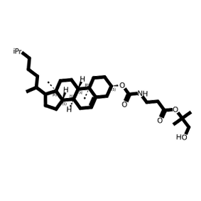 CC(C)CCCC(C)C1CC[C@H]2[C@@H]3CC=C4C[C@@H](OC(=O)NCCC(=O)OC(C)(C)CO)CC[C@]4(C)[C@H]3CC[C@]12C